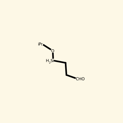 CC(C)O[SiH2]CCC=O